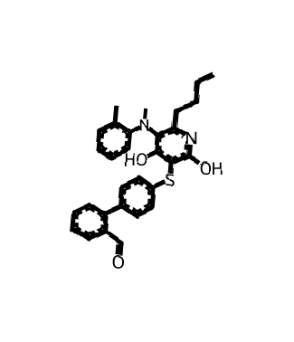 CCCCc1nc(O)c(Sc2ccc(-c3ccccc3C=O)cc2)c(O)c1N(C)c1ccccc1C